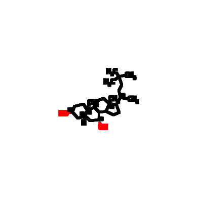 C[C@H](CCC(C)(C)C)C1CCC2C3C(CC[C@@]21C)[C@@]1(C)CC[C@@H](O)C[C@H]1C[C@H]3O